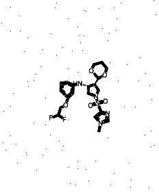 Cn1cnc(S(=O)(=O)N2C[C@H](Nc3cccc(OCC(F)F)c3)[C@@H](C3OCCCO3)C2)c1